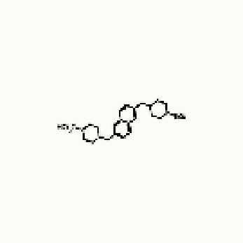 CC(C)(C)C1CCC(Cc2ccc3cc(CN4CCC(C(=O)O)CC4)ccc3c2)CC1